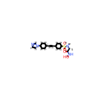 C[C@H](C(=O)NO)N(C)S(=O)(=O)c1ccc(C#Cc2ccc(-n3ccnc3)cc2)cc1